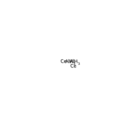 [AlH3].[AlH3].[Ce].[Ce]